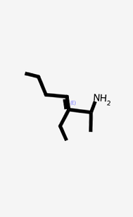 CCC/C=C(\CC)C(C)N